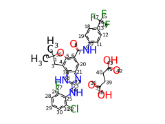 CC1(C)Cc2c(c(C(=O)Nc3ccc(C(F)(F)F)cc3)cc3nc(Nc4c(F)cccc4Cl)[nH]c23)O1.O=C(O)CCC(=O)O